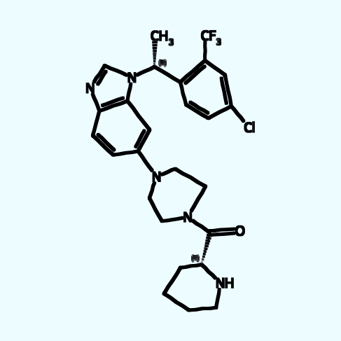 C[C@H](c1ccc(Cl)cc1C(F)(F)F)n1cnc2ccc(N3CCN(C(=O)[C@H]4CCCCN4)CC3)cc21